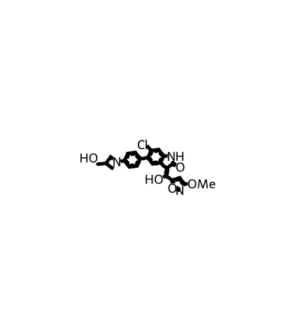 COc1cc(C(O)=C2C(=O)Nc3cc(Cl)c(-c4ccc(N5CC(CO)C5)cc4)cc32)on1